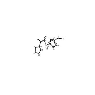 CCn1cc(NC(=O)C(C)C2CCCC2)cn1